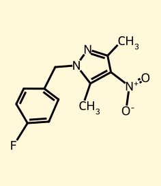 Cc1nn(Cc2ccc(F)cc2)c(C)c1[N+](=O)[O-]